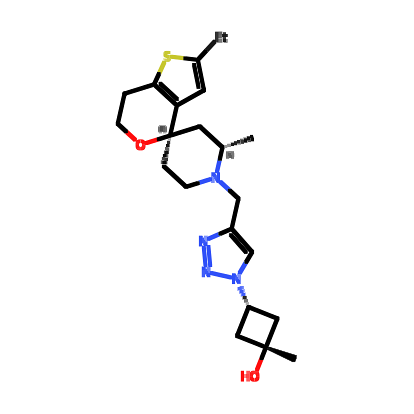 CCc1cc2c(s1)CCO[C@@]21CCN(Cc2cn([C@H]3C[C@@](C)(O)C3)nn2)[C@@H](C)C1